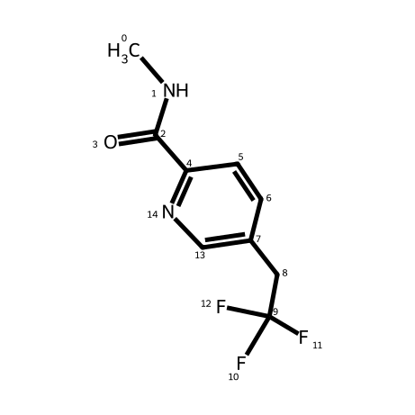 CNC(=O)c1ccc(CC(F)(F)F)cn1